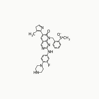 CC1=C(c2cc3cnc(Nc4ccc(N5CCNCC5)c(F)c4)nc3n(Cc3ccccc3[S+](C)[O-])c2=O)N=CC1